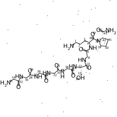 NCCC[C@H](NC(=O)CNC(=O)[C@H](CO)NC(=O)CNC(=O)CNC(=O)CNC(=O)CNC(=O)CN)C(=O)N1CCC[C@H]1C(N)=O